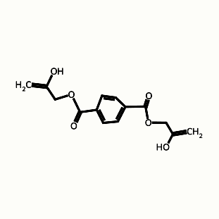 C=C(O)COC(=O)c1ccc(C(=O)OCC(=C)O)cc1